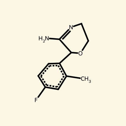 Cc1cc(F)ccc1C1OCCN=C1N